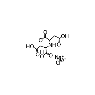 O=C(O)CC(NC(CC(=O)O)C(=O)O)C(=O)[O-].[Cl-].[Na+].[Na+]